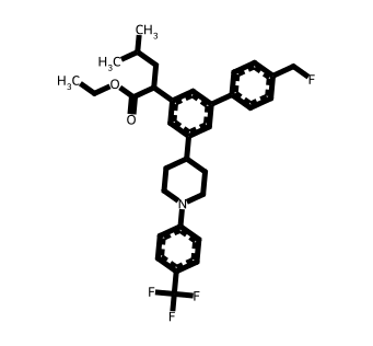 CCOC(=O)C(CC(C)C)c1cc(-c2ccc(CF)cc2)cc(C2CCN(c3ccc(C(F)(F)F)cc3)CC2)c1